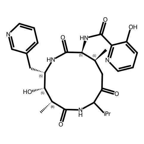 CC(C)C1NC(=O)[C@H](C)[C@H](O)[C@H](Cc2cccnc2)NC(=O)[C@@H](NC(=O)c2ncccc2O)[C@@H](C)CC1=O